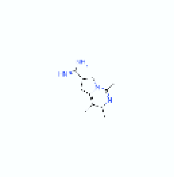 CC1=NC(C)C(C)=C2CC(C(=N)N)CN12